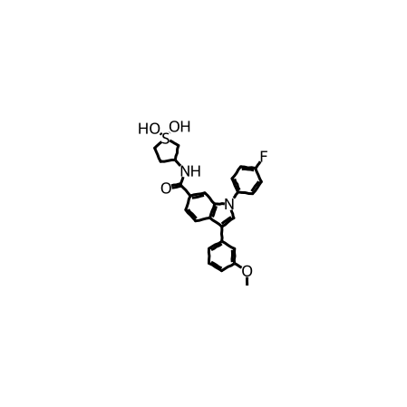 COc1cccc(-c2cn(-c3ccc(F)cc3)c3cc(C(=O)NC4CCS(O)(O)C4)ccc23)c1